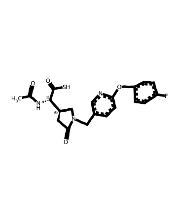 CC(=O)N[C@H](C(=O)S)[C@@H]1CC(=O)N(Cc2ccc(Oc3ccc(F)cc3)nc2)C1